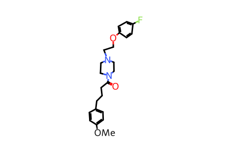 COc1ccc(CCCC(=O)N2CCN(CCOc3ccc(F)cc3)CC2)cc1